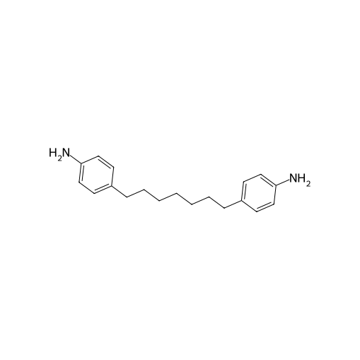 Nc1ccc(CCCCCCCc2ccc(N)cc2)cc1